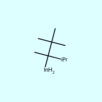 CC(C)[C](C)([InH2])C(C)(C)C